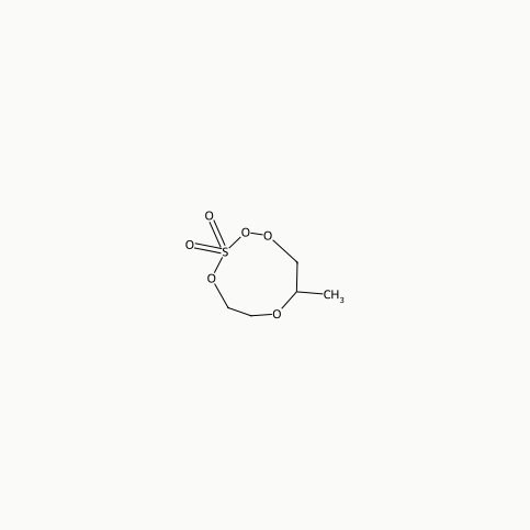 CC1COOS(=O)(=O)OCCO1